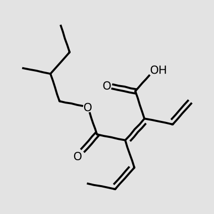 C=C/C(C(=O)O)=C(\C=C/C)C(=O)OCC(C)CC